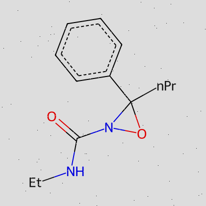 CCCC1(c2ccccc2)ON1C(=O)NCC